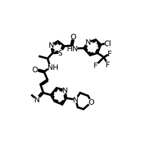 C/N=C(\C=C\C(=O)NC(C)c1ncc(C(=O)Nc2cc(C(F)(F)F)c(Cl)cn2)s1)c1ccc(N2CCOCC2)nc1